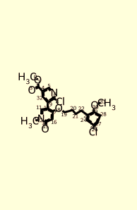 COC(=O)c1cnc(Cl)c(-c2cn(C)c(=O)cc2OCCCCc2cc(Cl)ccc2OC)c1